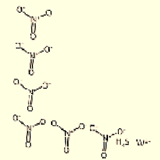 O=[N+]([O-])[O-].O=[N+]([O-])[O-].O=[N+]([O-])[O-].O=[N+]([O-])[O-].O=[N+]([O-])[O-].O=[N+]([O-])[O-].[SiH4].[W+6]